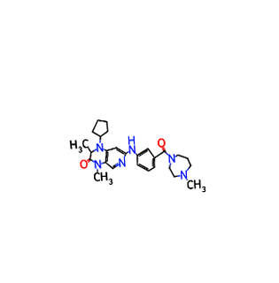 CC1C(=O)N(C)c2cnc(Nc3cccc(C(=O)N4CCCN(C)CC4)c3)cc2N1C1CCCC1